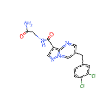 NC(=O)CNC(=O)c1cnn2cc(Cc3ccc(Cl)c(Cl)c3)cnc12